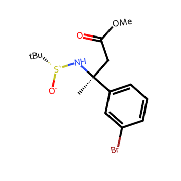 COC(=O)C[C@](C)(N[S@+]([O-])C(C)(C)C)c1cccc(Br)c1